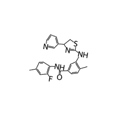 Cc1ccc(NC(=O)c2ccc(C)c(NC3=NC(c4cccnc4)CS3)c2)c(F)c1